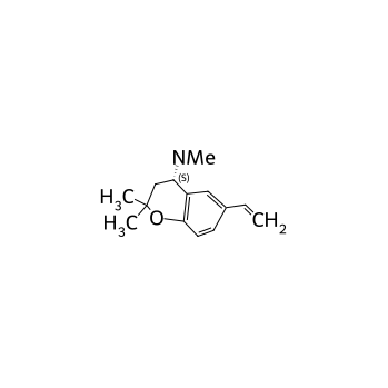 C=Cc1ccc2c(c1)[C@@H](NC)CC(C)(C)O2